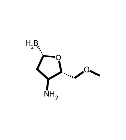 B[C@H]1CC(N)[C@@H](COC)O1